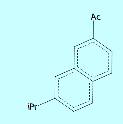 CC(=O)c1ccc2ccc(C(C)C)cc2c1